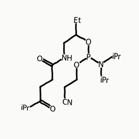 CCC(CNC(=O)CCC(=O)C(C)C)OP(OCCC#N)N(C(C)C)C(C)C